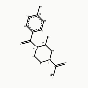 C=C(C(C)C)N1CCN(C(=C)c2ccc(C)cc2)C(C)C1